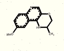 COc1ccc2ncc3c(c2c1)NC(C)CO3